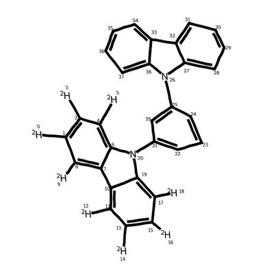 [2H]c1c([2H])c([2H])c2c(c1[2H])c1c([2H])c([2H])c([2H])c([2H])c1n2-c1cccc(-n2c3ccccc3c3ccccc32)c1